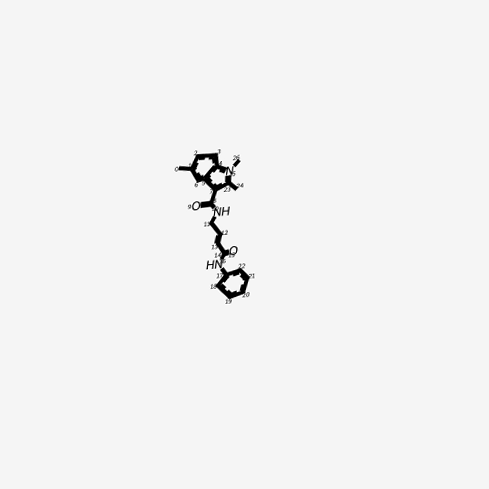 Cc1ccc2c(c1)c(C(=O)NC/C=C/C(=O)Nc1ccccc1)c(C)n2C